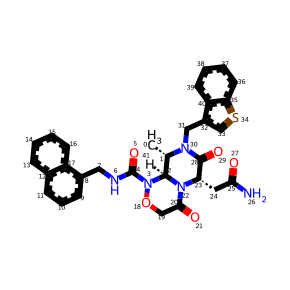 C[C@H]1[C@@H]2N(C(=O)NCc3cccc4ccccc34)OCC(=O)N2[C@@H](CC(N)=O)C(=O)N1Cc1csc2ccccc12